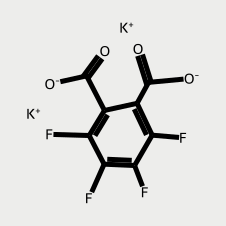 O=C([O-])c1c(F)c(F)c(F)c(F)c1C(=O)[O-].[K+].[K+]